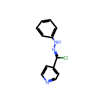 Cl/C(=N\Nc1ccccc1)c1ccncc1